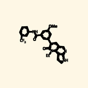 CCn1c(=O)c(-c2cc(OC)cc(C(=O)Nc3cccc(C(F)(F)F)c3)c2)cc2cnc3[nH]ccc3c21